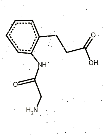 NCC(=O)Nc1ccccc1CCC(=O)O